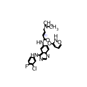 CN(C)C/C=C/C(=O)Nc1cc2c(Nc3ccc(F)c(Cl)c3)ncnc2cc1OC1=CC=CON1